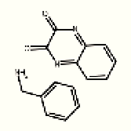 NCc1ccccc1.O=C1N=c2ccccc2=NC1=O